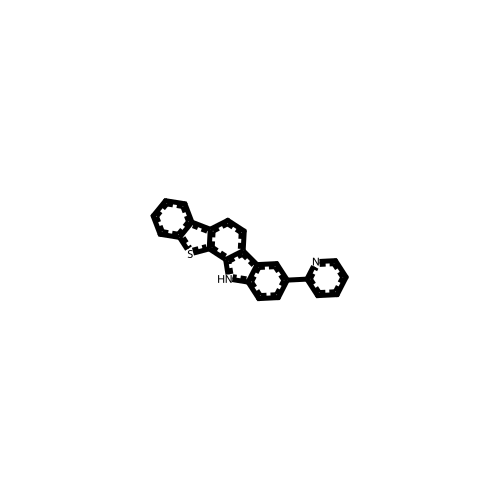 c1ccc(-c2ccc3[nH]c4c(ccc5c6ccccc6sc54)c3c2)nc1